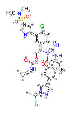 CN(C)S(=O)(=O)n1cnc(-c2cc(C(COC(=O)NC3CC3)N3C(=N)N[C@](CC(C)(C)C)(c4ccc(-c5cnn(C(F)F)c5)cc4)C3=O)ccc2Cl)c1